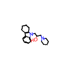 OC(CN1CCCCC1)Cn1c2c(c3ccccc31)CCCC2